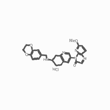 COc1ccc2ncc(=O)n(-c3cnc4c(c3)CCC(NCc3ccc5c(c3)OCCO5)C4)c2n1.Cl